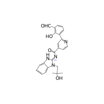 CC(C)(O)Cn1/c(=N/C(=O)c2ccnc(-c3cccc(C=O)c3O)c2)[nH]c2ccccc21